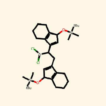 CC(C)(C)[Si](C)(C)OC1C=C(C[CH](C2=CC(O[Si](C)(C)C(C)(C)C)C3=C2CCCC3)[Zr]([Cl])[Cl])C2=C1CCCC2